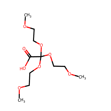 COCCOC(OCCOC)(OCCOC)C(=O)O